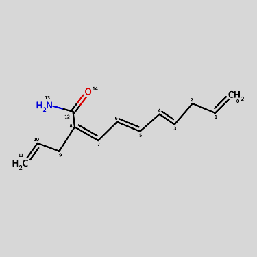 C=CCC=CC=CC=C(CC=C)C(N)=O